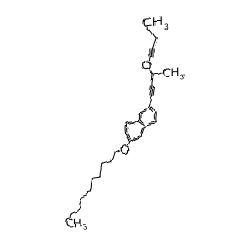 CCCC#COC(C)C#Cc1ccc2cc(OCCCCCCCCCC)ccc2c1